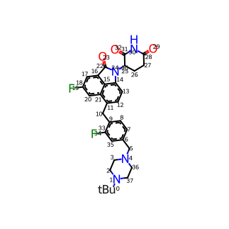 CC(C)(C)N1CCN(Cc2ccc(Cc3ccc4c5c(cc(F)cc35)C(=O)N4[C@@H]3CCC(=O)NC3=O)c(F)c2)CC1